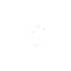 COc1cc(C2CC2)c2[nH]ccc2c1C(C)C